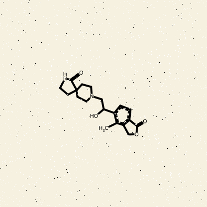 Cc1c(C(O)CN2CCC3(CCNC3=O)CC2)ccc2c1COC2=O